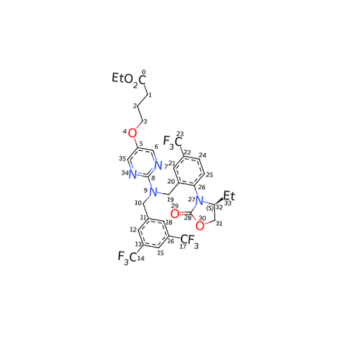 CCOC(=O)CCCOc1cnc(N(Cc2cc(C(F)(F)F)cc(C(F)(F)F)c2)Cc2cc(C(F)(F)F)ccc2N2C(=O)OC[C@@H]2CC)nc1